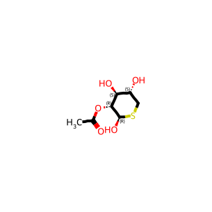 CC(=O)O[C@@H]1[C@@H](O)[C@H](O)CS[C@H]1O